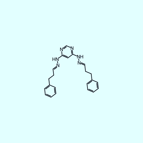 C(/CCc1ccccc1)=N\Nc1cc(N/N=C/CCc2ccccc2)ncn1